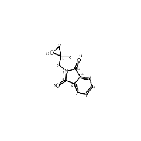 CC1(CN2C(=O)c3ccccc3C2=O)CO1